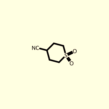 N#CC1CCS(=O)(=O)CC1